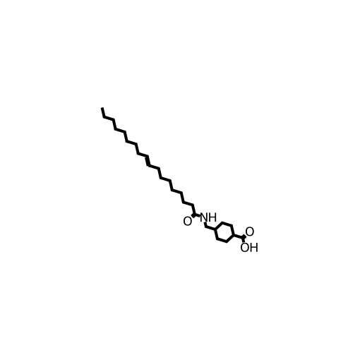 CCCCCCCCC=CCCCCCCCC(=O)NCC1CCC(C(=O)O)CC1